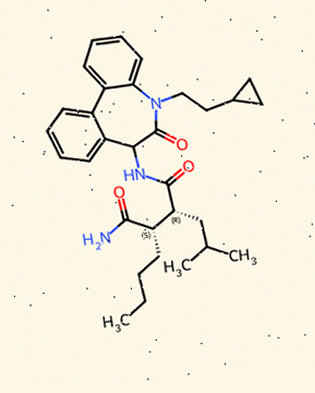 CCCC[C@H](C(N)=O)[C@@H](CC(C)C)C(=O)NC1C(=O)N(CCC2CC2)c2ccccc2-c2ccccc21